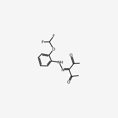 CC(=O)C(=NNc1ccccc1OC(F)F)C(C)=O